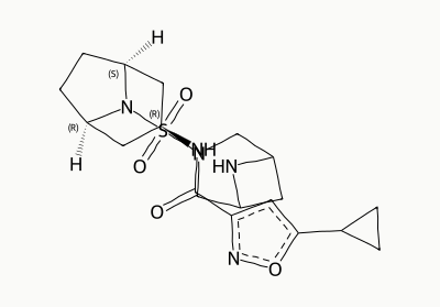 O=C(N[C@H]1C[C@H]2CC[C@@H](C1)N2S(=O)(=O)N1CC2CC(C1)N2)c1cc(C2CC2)on1